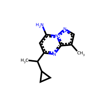 Cc1cnn2c(N)cc(C(C)C3CC3)nc12